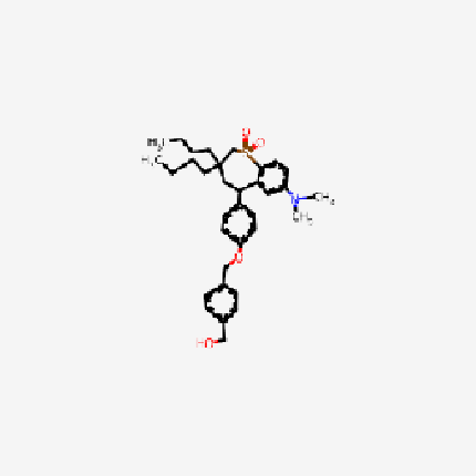 CCCCC1(CCCC)C[C@H](c2ccc(OCc3ccc(CO)cc3)cc2)c2cc(N(C)C)ccc2S(=O)(=O)C1